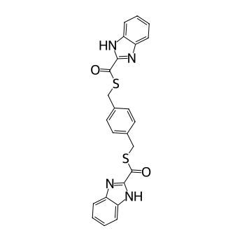 O=C(SCc1ccc(CSC(=O)c2nc3ccccc3[nH]2)cc1)c1nc2ccccc2[nH]1